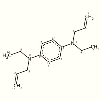 C=CCN(CC)c1[c]nc(N(CC)CC=C)cc1